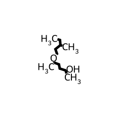 CCC(C)CCOC(C)CCC(C)O